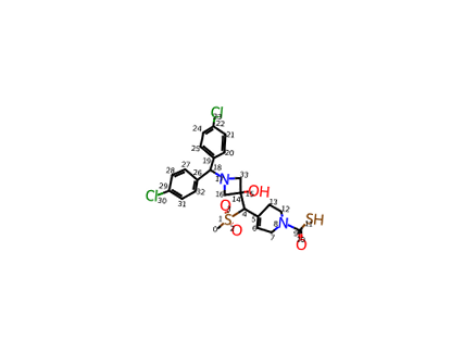 CS(=O)(=O)C(C1=CCN(C(=O)S)CC1)C1(O)CN(C(c2ccc(Cl)cc2)c2ccc(Cl)cc2)C1